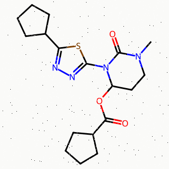 CN1CCC(OC(=O)C2CCCC2)N(c2nnc(C3CCCC3)s2)C1=O